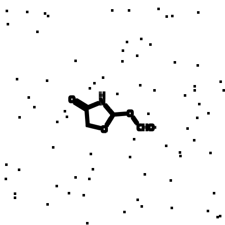 O=[C]OC1NC(=O)CO1